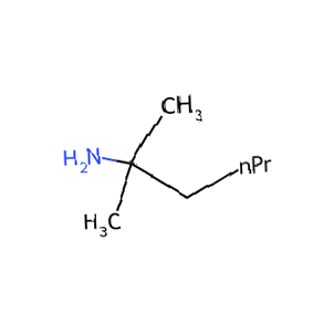 [CH2]CCCC(C)(C)N